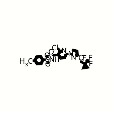 Cc1ccc(S(=O)(=O)NC(=O)c2ccc(-n3ccc(OCC4(C(F)(F)F)CC4)n3)nc2Cl)cc1